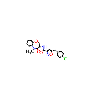 CN1C(=O)[C@@H](NC(=O)c2cc(Cc3ccc(Cl)cc3)on2)COc2ccccc21